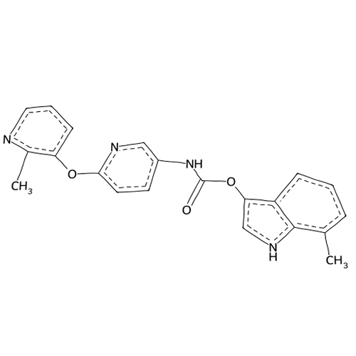 Cc1ncccc1Oc1ccc(NC(=O)Oc2c[nH]c3c(C)cccc23)cn1